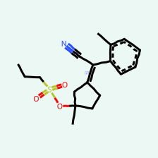 CCCS(=O)(=O)OC1(C)CC/C(=C(/C#N)c2ccccc2C)C1